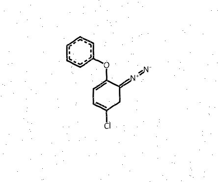 [N-]=[N+]=C1CC(Cl)=CC=C1Oc1ccccc1